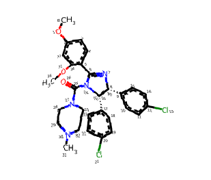 COc1ccc(C2=N[C@H](c3ccc(Cl)cc3)[C@H](c3ccc(Cl)cc3)N2C(=O)N2CCN(C)CC2)c(OC)c1